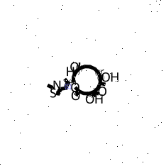 C/C(=C\c1csc(C)n1)[C@@H]1C[C@@H]2O[C@]2(C)CCC[C@H](C)[C@H](O)C(C)C(=O)C(C)(C)[C@@H](O)CC(=O)O1